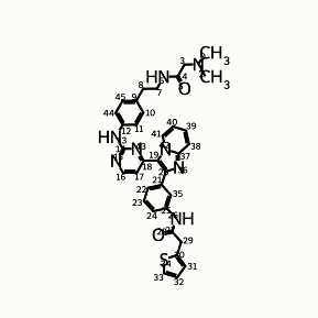 CN(C)CC(=O)NCCc1ccc(Nc2nccc(-c3c(-c4cccc(NC(=O)Cc5cccs5)c4)nc4ccccn34)n2)cc1